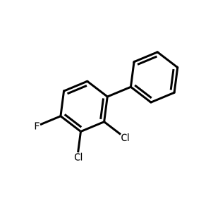 Fc1ccc(-c2ccccc2)c(Cl)c1Cl